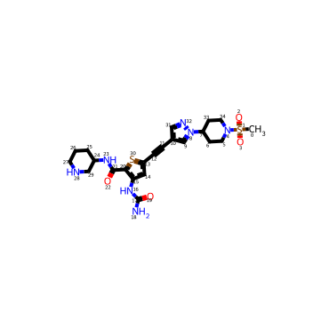 CS(=O)(=O)N1CCC(n2cc(C#Cc3cc(NC(N)=O)c(C(=O)NC4CCCNC4)s3)cn2)CC1